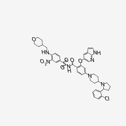 O=C(NS(=O)(=O)c1ccc(NCC2CCOCC2)c([N+](=O)[O-])c1)c1ccc(N2CCC(N3CCCC3c3ccccc3Cl)CC2)cc1Oc1cnc2[nH]ccc2c1